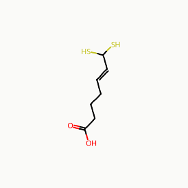 O=C(O)CCCC=CC(S)S